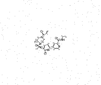 C=CC(=O)N1C[C@H](c2cc(Cl)nc(-c3ccnc(C(=O)NCC)c3)c2)N(S(C)(=O)=O)[C@@H](C)C1